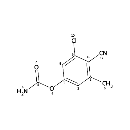 Cc1cc(OC(N)=O)cc(Cl)c1C#N